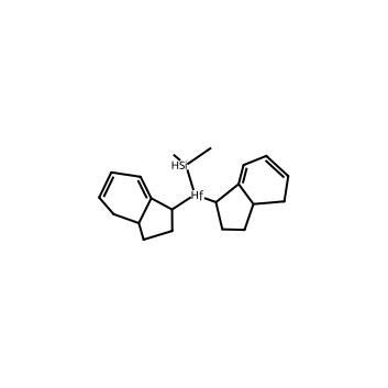 C[SiH](C)[Hf]([CH]1CCC2CC=CC=C21)[CH]1CCC2CC=CC=C21